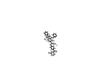 NC(C(CCc1ccccc1)NC(=O)[C@@H](N)Cc1ccc(C(=O)C2CNCCO2)cc1)S(=O)(=O)c1ccccc1